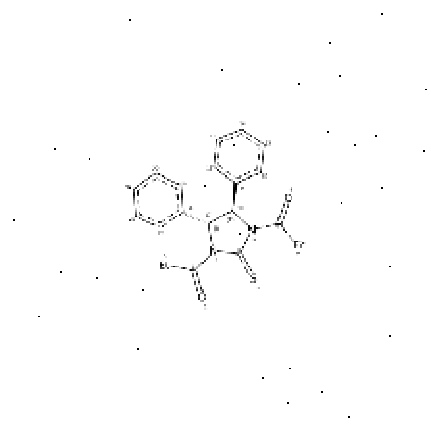 CCC(=O)N1C(=S)N(C(=O)CC)[C@H](c2ccccc2)[C@H]1c1ccccc1